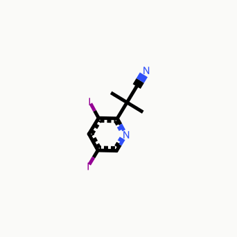 CC(C)(C#N)c1ncc(I)cc1I